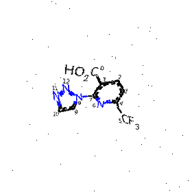 O=C(O)c1ccc(C(F)(F)F)nc1-n1ccnn1